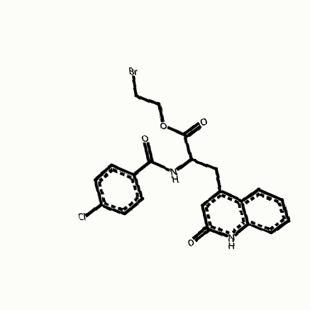 O=C(NC(Cc1cc(=O)[nH]c2ccccc12)C(=O)OCCBr)c1ccc(Cl)cc1